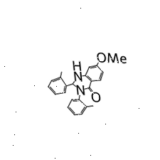 COc1ccc2c(c1)NC(c1ccccc1C)N(c1ccccc1C)C2=O